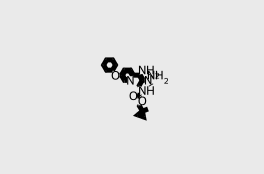 CN(N)/C(CNC(=O)OCC1(C)CC1)=C(\N)c1ccc(OC2CCCCC2)cn1